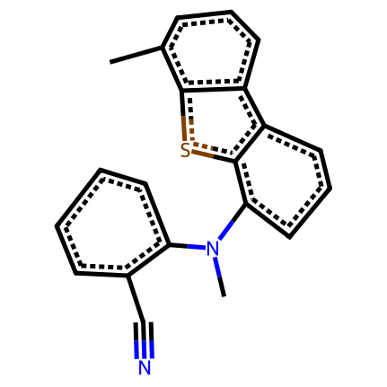 Cc1cccc2c1sc1c(N(C)c3ccccc3C#N)cccc12